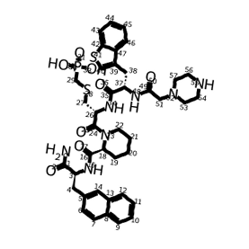 NC(=O)[C@H](Cc1ccc2ccccc2c1)NC(=O)[C@@H]1CCCCN1C(=O)[C@H](CSCP(=O)(O)O)NC(=O)[C@H](Cc1csc2ccccc12)NC(=O)CN1CCNCC1